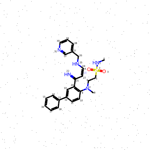 CNS(=O)(=O)CCN(C)c1ccc(-c2ccccc2)cc1C(=N)/C=C\NCc1cccnc1